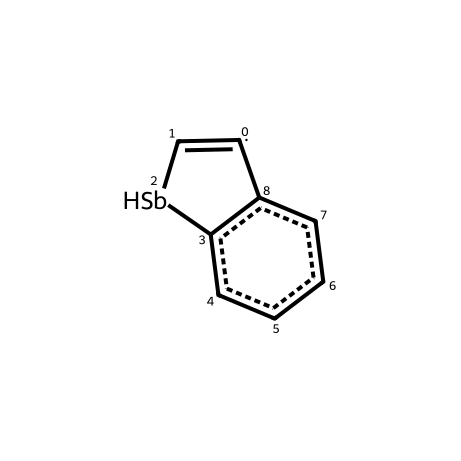 [C]1=[CH][SbH][c]2ccccc21